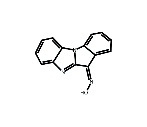 O/N=C1/c2ccccc2-n2c1nc1ccccc12